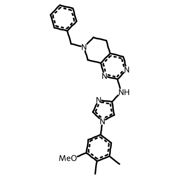 COc1cc(-n2cnc(Nc3ncc4c(n3)CN(Cc3ccccc3)CC4)c2)cc(C)c1C